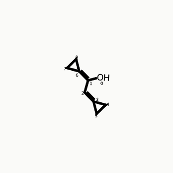 OC(C=C1CC1)=C1CC1